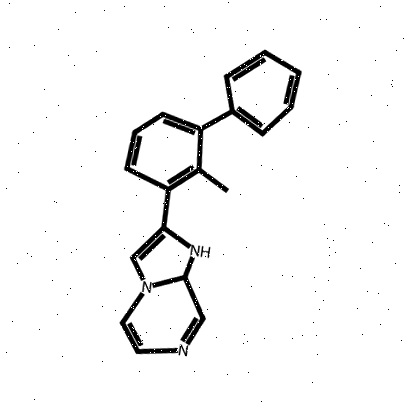 Cc1c(C2=CN3C=CN=CC3N2)cccc1-c1ccccc1